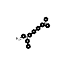 Cc1cccc(N(c2ccc(-c3ccccc3)cc2)c2ccc(-c3ccc(-c4ccc(-c5ccc6c(c5)c5ccccc5n6-c5ccccc5)cc4)cc3)cc2)c1